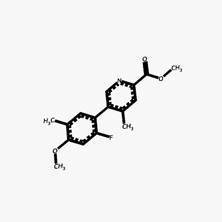 COC(=O)c1cc(C)c(-c2cc(C)c(OC)cc2F)cn1